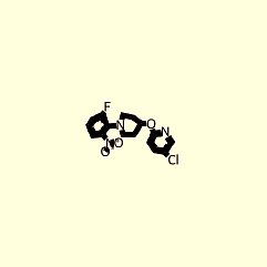 O=[N+]([O-])c1cccc(F)c1N1CCC(Oc2ccc(Cl)cn2)CC1